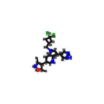 Cc1noc(C)c1-c1cnc2c(-c3cn[nH]c3)cn(CC3CC(F)(F)C3)c2c1